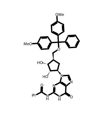 COc1ccc(C(OC[C@H]2C[C@@H](n3cnc4c(=O)[nH]c(NC(=O)C(C)C)nc43)[C@H](O)[C@@H]2O)(c2ccccc2)c2ccc(OC)cc2)cc1